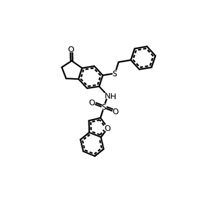 O=C1CCc2cc(NS(=O)(=O)c3cc4ccccc4o3)c(SCc3ccccc3)cc21